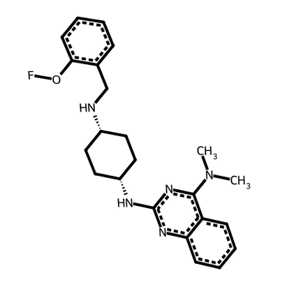 CN(C)c1nc(N[C@H]2CC[C@@H](NCc3ccccc3OF)CC2)nc2ccccc12